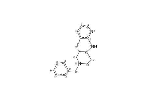 Fc1cccnc1NC1CCN(Cc2ccccc2)CC1